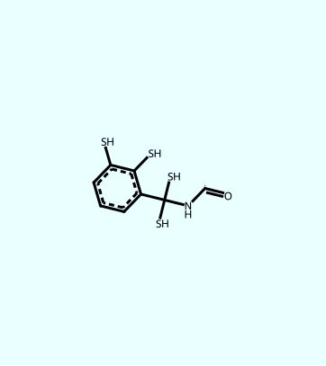 O=[C]NC(S)(S)c1cccc(S)c1S